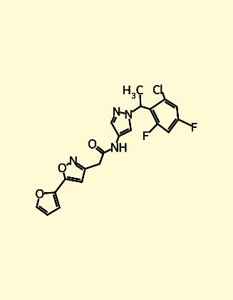 CC(c1c(F)cc(F)cc1Cl)n1cc(NC(=O)Cc2cc(-c3ccco3)on2)cn1